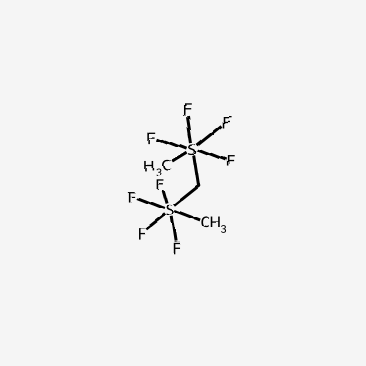 CS(F)(F)(F)(F)CS(C)(F)(F)(F)F